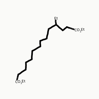 CCOC(=O)CCCCCCCCCC(CC)CCC(=O)OCC